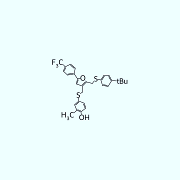 Cc1cc(SCc2cc(-c3ccc(C(F)(F)F)cc3)oc2CSc2ccc(C(C)(C)C)cc2)ccc1O